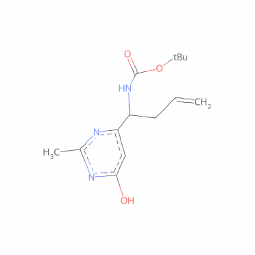 C=CCC(NC(=O)OC(C)(C)C)c1cc(O)nc(C)n1